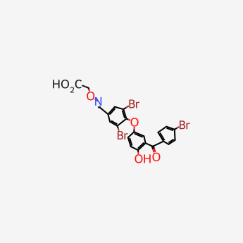 O=C(O)CON=Cc1cc(Br)c(Oc2ccc(O)c(C(=O)c3ccc(Br)cc3)c2)c(Br)c1